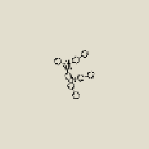 c1ccc(-c2ccc(-c3nc(-c4ccccc4)nc(-c4ccc5c6ccc(-c7ccccc7)cc6n(-c6ccc(-c7ccccc7)cc6)c5c4)n3)cc2)cc1